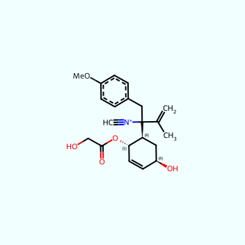 C#[N+]C(Cc1ccc(OC)cc1)(C(=C)C)[C@H]1C[C@@H](O)C=C[C@@H]1OC(=O)CO